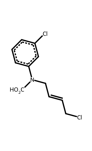 O=C(O)N(CC=CCCl)c1cccc(Cl)c1